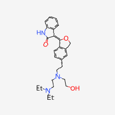 CCN(CC)CCN(CCO)CCc1ccc2c(c1)CO/C2=C1/C(=O)Nc2ccccc21